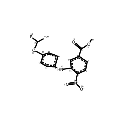 COC(=O)c1ccc([N+](=O)[O-])c(Nc2ccc(OC(F)F)cc2)c1